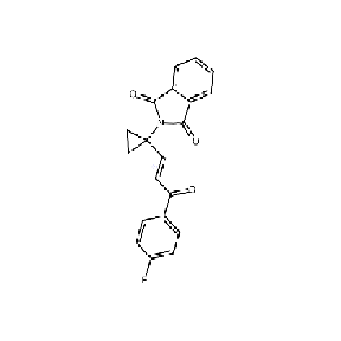 O=C(/C=C/C1(N2C(=O)c3ccccc3C2=O)CC1)c1ccc(F)cc1